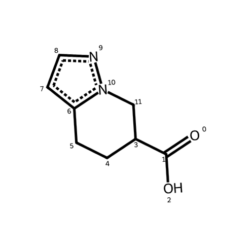 O=C(O)C1CCc2ccnn2C1